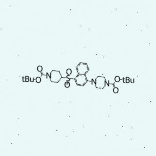 CC(C)(C)OC(=O)N1CCC(S(=O)(=O)c2ccc(N3CCN(C(=O)OC(C)(C)C)CC3)c3ccccc23)CC1